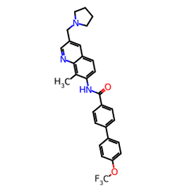 Cc1c(NC(=O)c2ccc(-c3ccc(OC(F)(F)F)cc3)cc2)ccc2cc(CN3CCCC3)cnc12